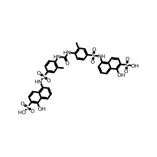 Cc1cc(S(=O)(=O)Nc2cccc3c(O)c(S(=O)(=O)O)ccc23)ccc1NC(=O)Nc1ccc(S(=O)(=O)Nc2cccc3c(O)c(S(=O)(=O)O)ccc23)cc1C